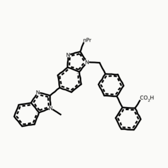 CCCc1nc2cc(-c3nc4ccccc4n3C)ccc2n1Cc1ccc(-c2ccccc2C(=O)O)cc1